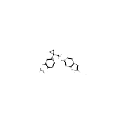 CC(C)(C)c1cc2ccc(NC(=O)C3(c4ccc5c(c4)OCO5)CC3)cc2[nH]1